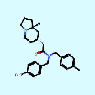 Cc1ccc(CN(Cc2ccc(OCC(C)C)cc2)C(=O)C[C@@H]2CCN3CCC[C@@H]3C2)cc1